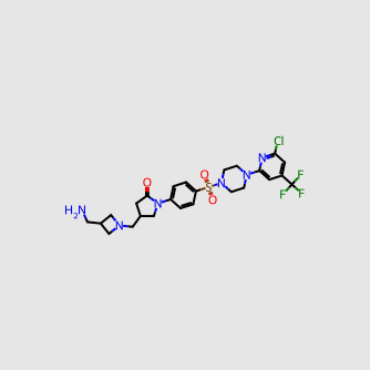 NCC1CN(CC2CC(=O)N(c3ccc(S(=O)(=O)N4CCN(c5cc(C(F)(F)F)cc(Cl)n5)CC4)cc3)C2)C1